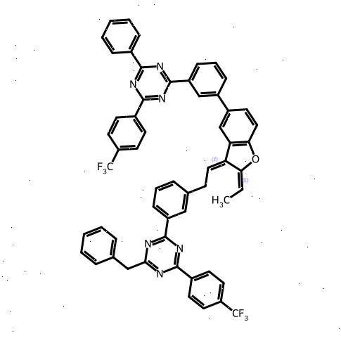 C/C=c1/oc2ccc(-c3cccc(-c4nc(-c5ccccc5)nc(-c5ccc(C(F)(F)F)cc5)n4)c3)cc2/c1=C/Cc1cccc(-c2nc(Cc3ccccc3)nc(-c3ccc(C(F)(F)F)cc3)n2)c1